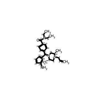 C=CCN1C[C@H](C)N(C(c2ccc(C(=O)N(CC)CC)cc2)c2cccc(N)c2)C[C@H]1C